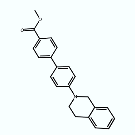 COC(=O)c1ccc(-c2ccc(N3CCc4ccccc4C3)cc2)cc1